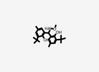 C[O][AlH][CH](c1cc(C)cc(C(C)(C)C)c1O)c1cc(C)cc(C(C)(C)C)c1O